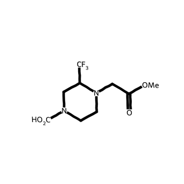 COC(=O)CN1CCN(C(=O)O)CC1C(F)(F)F